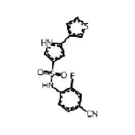 N#Cc1ccc(NS(=O)(=O)c2c[nH]c(-c3ccsc3)c2)c(F)c1